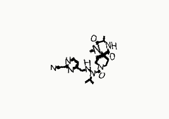 CC1NC(=O)C2(CCN(C(=O)N(NCc3ccnc(C#N)n3)C(C)C)CC2)N(C)C1=O